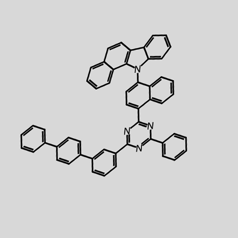 c1ccc(-c2ccc(-c3cccc(-c4nc(-c5ccccc5)nc(-c5ccc(-n6c7ccccc7c7ccc8ccccc8c76)c6ccccc56)n4)c3)cc2)cc1